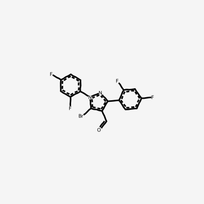 O=Cc1c(-c2ccc(F)cc2F)nn(-c2ccc(F)cc2F)c1Br